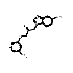 Nc1ccc2c(c1)ncn2CC(=O)COc1cccc(C(F)(F)F)c1